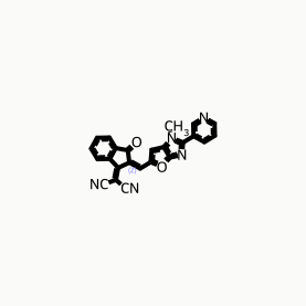 Cn1c(-c2cccnc2)nc2oc(/C=C3\C(=O)c4ccccc4C3=C(C#N)C#N)cc21